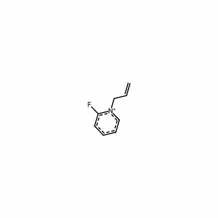 C=CC[n+]1ccccc1F